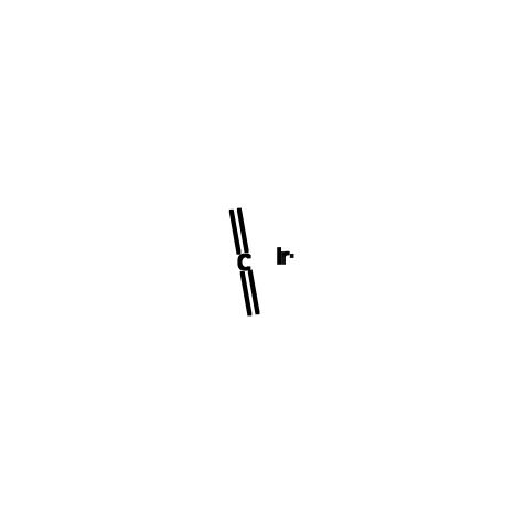 C=C=C.[Ir]